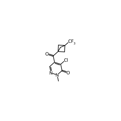 Cn1ncc(C(=O)C23CC(C(F)(F)F)(C2)C3)c(Cl)c1=O